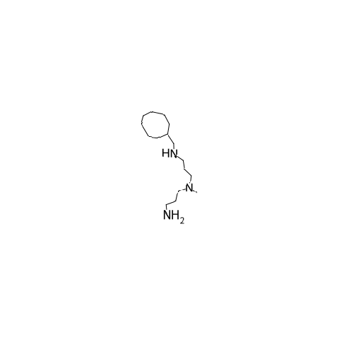 CN(CCCN)CCCNCC1CCCCCCC1